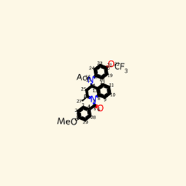 COc1ccc(C(=O)N2c3ccccc3[C@H](N(C(C)=O)c3ccc(OC(F)(F)F)cc3)C[C@@H]2C)cc1